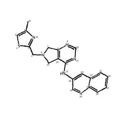 Cc1csc(CN2Cc3ncnc(Nc4cnc5ccccc5c4)c3C2)n1